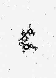 C[C@H]1c2nn(C)c(-c3cc(F)cc(F)c3)c2CCN1C(=O)c1cc(F)cc(OCC[18F])c1